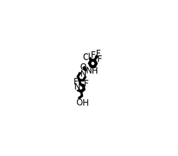 O=C(Nc1ccc(C(F)(F)F)c(Cl)c1)N1CCC(F)(c2ncc(CCO)cc2F)CC1